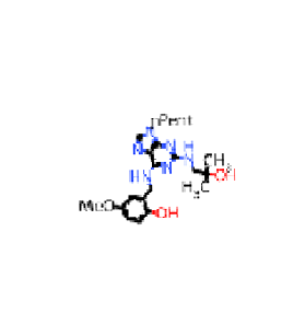 CCCCCn1cnc2c(NCc3cc(OC)ccc3O)nc(NCC(C)(C)O)nc21